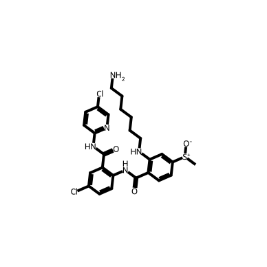 C[S+]([O-])c1ccc(C(=O)Nc2ccc(Cl)cc2C(=O)Nc2ccc(Cl)cn2)c(NCCCCCCN)c1